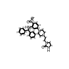 O=C1NCCN1CCN1CCN(c2ccc([N+](=O)[O-])c(NC(c3ccccc3)c3ccccc3)c2)CC1